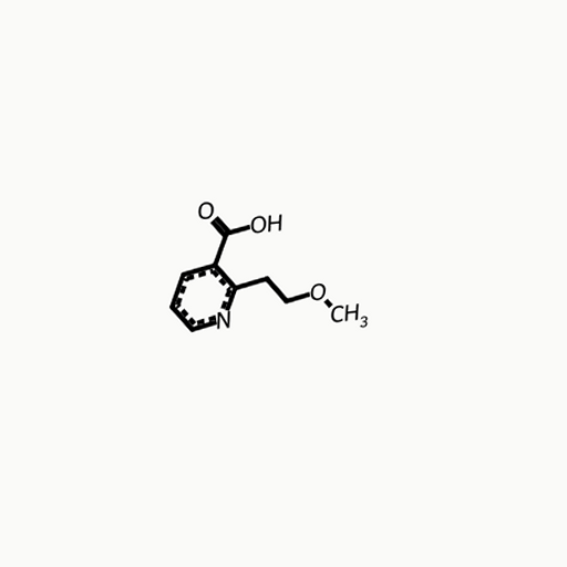 COCCc1ncccc1C(=O)O